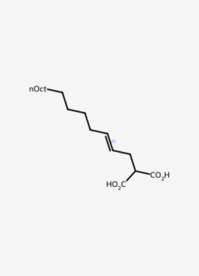 CCCCCCCCCCCC/C=C/CC(C(=O)O)C(=O)O